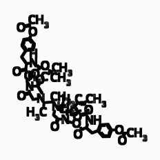 CC(=O)Oc1ccc(CC(NC(=O)OC(C)(C)C)C(=O)OCN2C(=O)CN(C(C)C(C)N3CC(=O)N(COC(=O)C(Cc4ccc(OC(C)=O)cc4)NC(=O)OC(C)(C)C)C(=O)C3)CC2=O)cc1